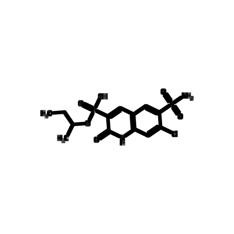 CCC(C)OP(=O)(O)c1cc2cc(S(N)(=O)=O)c(Cl)cc2[nH]c1=O